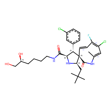 C\C1=C/C(Cl)=C(F)\C=C\[C@]2(C(=O)N1)[C@@H](CC(C)(C)C)N[C@@H](C(=O)NCCCC[C@H](O)CO)[C@@H]2c1cccc(Cl)c1